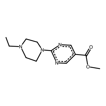 CCN1CCN(c2ncc(C(=O)OC)cn2)CC1